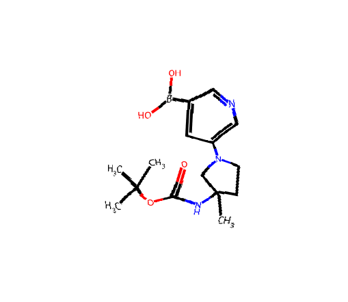 CC1(NC(=O)OC(C)(C)C)CCN(c2cncc(B(O)O)c2)C1